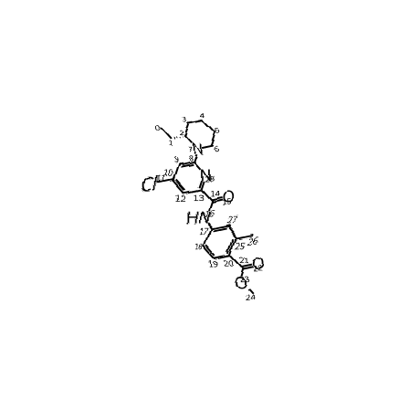 CC[C@@H]1CCCCN1c1cc(Cl)cc(C(=O)Nc2ccc(C(=O)OC)c(C)c2)n1